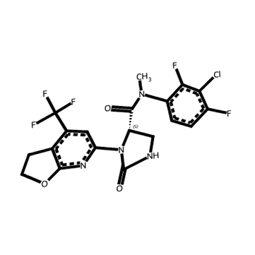 CN(C(=O)[C@@H]1CNC(=O)N1c1cc(C(F)(F)F)c2c(n1)OCC2)c1ccc(F)c(Cl)c1F